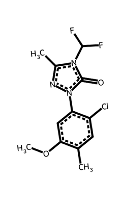 COc1cc(-n2nc(C)n(C(F)F)c2=O)c(Cl)cc1C